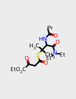 CCOC(=O)C(=O)CC(=O)SC(C)(C)C(NC(=O)C(C)C)C(=O)N(CC)CC